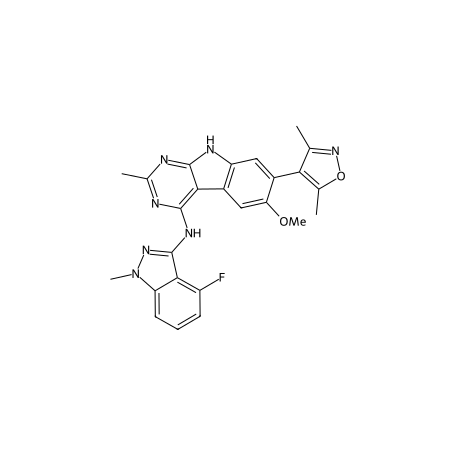 COc1cc2c(cc1-c1c(C)noc1C)[nH]c1nc(C)nc(Nc3nn(C)c4cccc(F)c34)c12